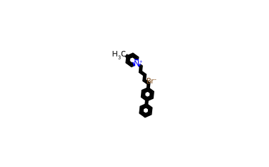 Cc1cc[n+](CCCCCc2ccc(-c3ccccc3)cc2)cc1.[Br-]